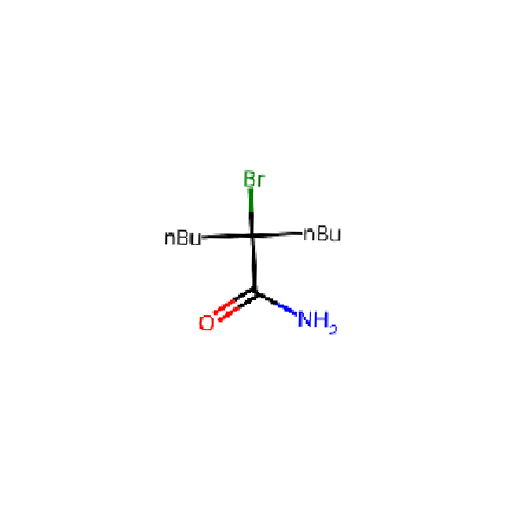 CCCCC(Br)(CCCC)C(N)=O